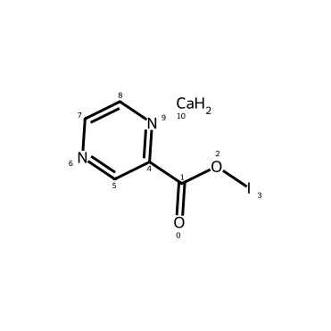 O=C(OI)c1cnccn1.[CaH2]